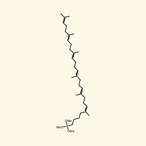 CO[Si](CCCCC(C)=CCC/C(C)=C/CC/C(C)=C/CC/C=C(\C)CC/C=C(\C)CCC=C(C)C)(OC)OC